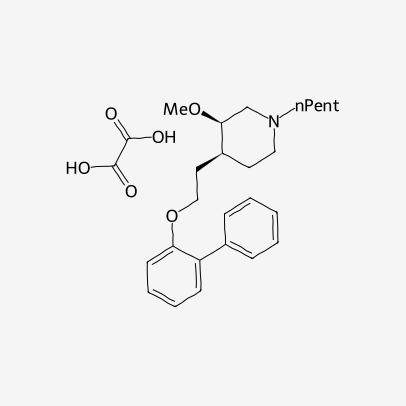 CCCCCN1CC[C@@H](CCOc2ccccc2-c2ccccc2)[C@@H](OC)C1.O=C(O)C(=O)O